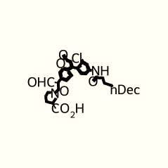 CCCCCCCCCCCCCC(=O)Nc1ccc(-c2cc(=O)oc3cc([C@H](C=O)C(=O)N4CCC[C@H](C(=O)O)C4)ccc23)c(Cl)c1